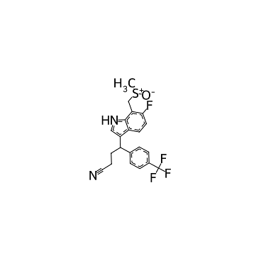 C[S+]([O-])Cc1c(F)ccc2c(C(CCC#N)c3ccc(C(F)(F)F)cc3)c[nH]c12